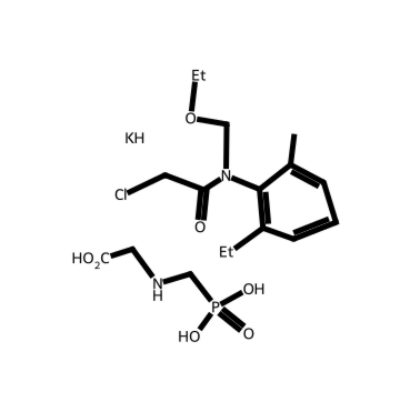 CCOCN(C(=O)CCl)c1c(C)cccc1CC.O=C(O)CNCP(=O)(O)O.[KH]